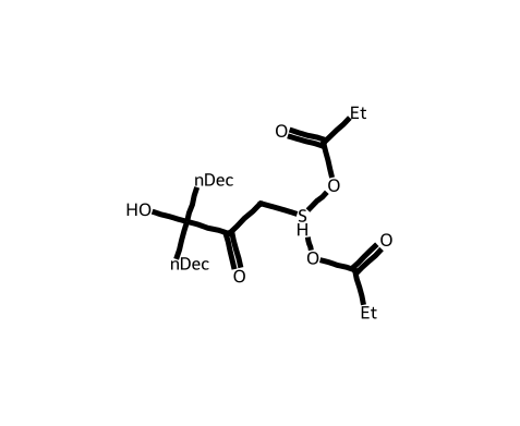 CCCCCCCCCCC(O)(CCCCCCCCCC)C(=O)C[SH](OC(=O)CC)OC(=O)CC